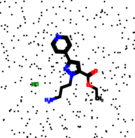 CCOC(=O)c1cc(-c2ccncc2)nn1CCCN.Cl